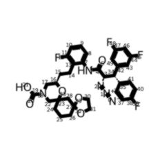 [N-]=[N+]=N[C@H](C(=O)Nc1cccc(F)c1CC[C@@H]1CN(C(=O)O)CC2(CCCC3(C2)OCCO3)O1)[C@@H](c1ccc(F)cc1)c1cc(F)cc(F)c1